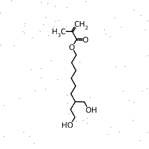 C=C(C)C(=O)OCCCCCCC(CO)CCO